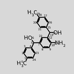 Cc1ccc(C(O)c2ccc(N)c(C(O)c3ccc(C)cc3)c2)cc1